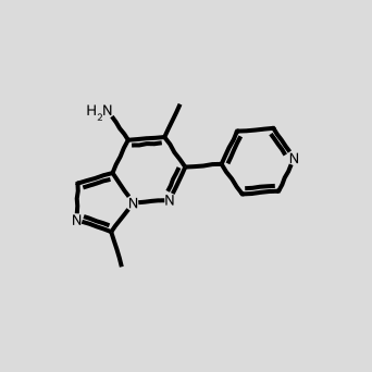 Cc1c(-c2ccncc2)nn2c(C)ncc2c1N